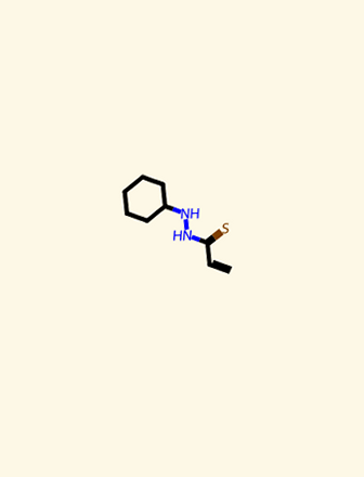 C=CC(=S)NNC1CCCCC1